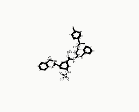 CCS(=O)(=O)Nc1cc(C(=O)N[C@@H](C)c2ccccc2)cc(C(=O)N[C@@H](Cc2ccccc2)[C@H](O)CN[C@H](C)c2ccc(C)cc2)c1